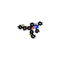 c1ccc(-c2nc(-c3ccccc3)nc(-c3cccc4c3oc3c(-c5ccc6c(c5)sc5ccccc56)cc(-c5ccc6c(c5)sc5ccccc56)cc34)n2)cc1